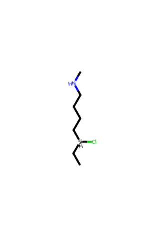 CC[SiH](Cl)CCCCNC